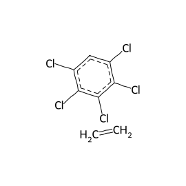 C=C.Clc1cc(Cl)c(Cl)c(Cl)c1Cl